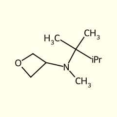 CC(C)C(C)(C)N(C)C1COC1